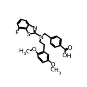 COc1ccc(OC)c(CCN(Cc2ccc(C(=O)O)cc2)c2nc3cccc(F)c3s2)c1